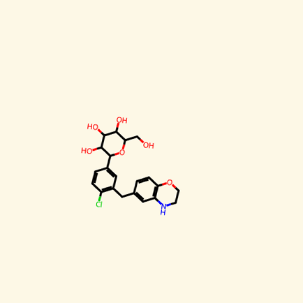 OCC1OC(c2ccc(Cl)c(Cc3ccc4c(c3)NCCO4)c2)C(O)C(O)C1O